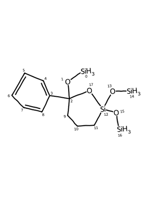 [SiH3]OC1(c2ccccc2)CCC[Si](O[SiH3])(O[SiH3])O1